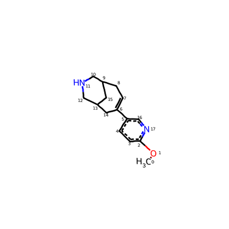 COc1ccc(C2=CCC3CNCC(C2)C3)cn1